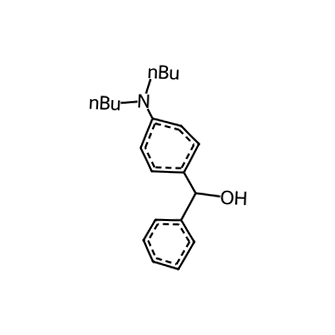 CCCCN(CCCC)c1ccc(C(O)c2ccccc2)cc1